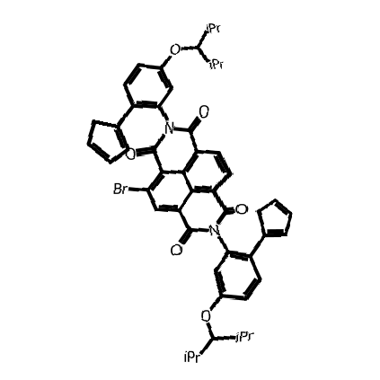 CC(C)C(Oc1ccc(C2=CC=CC2)c(N2C(=O)c3ccc4c5c(c(Br)cc(c35)C2=O)C(=O)N(c2cc(OC(C(C)C)C(C)C)ccc2C2=CC=CC2)C4=O)c1)C(C)C